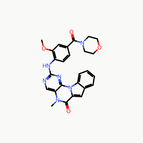 COc1cc(C(=O)N2CCOCC2)ccc1Nc1ncc2c(n1)n1c(cc3ccccc31)c(=O)n2C